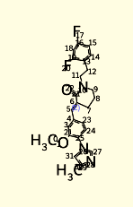 COc1cc(/C=C2\CCCN(CCc3ccc(F)cc3F)C2=O)ccc1-n1cnc(C)c1